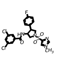 Cn1cnc(S(=O)(=O)N2CC(NC(=O)c3cc(Cl)cc(Cl)c3)C(c3ccc(F)cc3)C2)c1